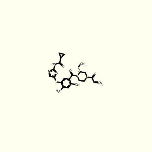 C=CC(=O)N1CCN(C(=O)c2cc(Sc3cnc(NC(=O)C4CC4)s3)c(C)cc2O)[C@H](CC)C1